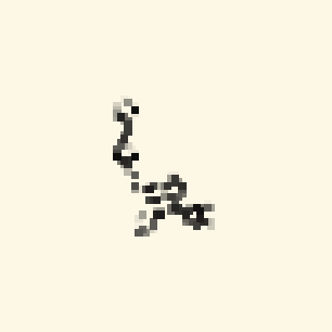 Fc1ccc(Nc2ncnc3cc(OCCN4CCN(CCN5CCOCC5)CC4)cc(OC4CCOCC4)c23)cc1Cl